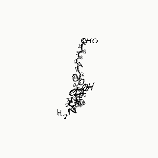 Nc1ccn([C@@H]2O[C@H](COC(=O)CCCCCCCCCC=O)[C@@H](O)C2(F)F)c(=O)n1